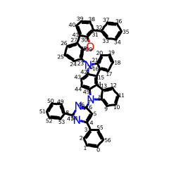 c1ccc(-c2cc(-n3c4ccccc4c4c5c6ccccc6n(-c6cccc7c6oc6c(-c8ccccc8)cccc67)c5ccc43)nc(-c3ccccc3)n2)cc1